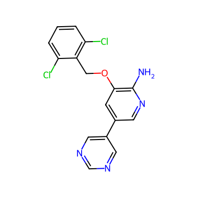 Nc1ncc(-c2cncnc2)cc1OCc1c(Cl)cccc1Cl